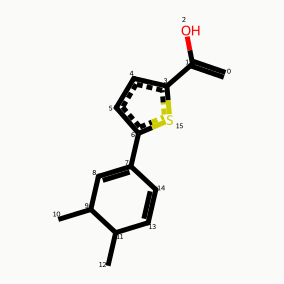 C=C(O)c1ccc(C2=CC(C)C(C)C=C2)s1